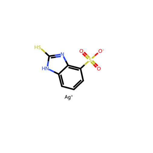 O=S(=O)([O-])c1cccc2[nH]c(S)nc12.[Ag+]